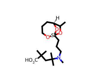 CC1O[Si]2(CCCN(C)C(C)(C)CC(C)(C)C(=O)O)OCCC[C@@H]1O2